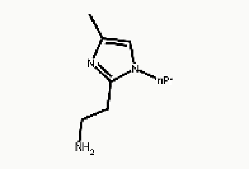 CCCn1cc(C)nc1CCN